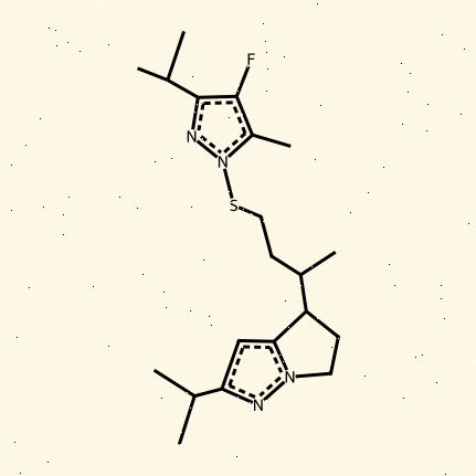 Cc1c(F)c(C(C)C)nn1SCCC(C)C1CCn2nc(C(C)C)cc21